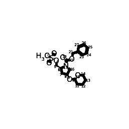 CS(=O)(=O)OC[C@@H]1C[C@@H](OC2CCCCO2)CN1C(=O)OCc1ccccc1